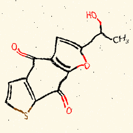 CC(O)c1cc2c(o1)C(=O)c1sccc1C2=O